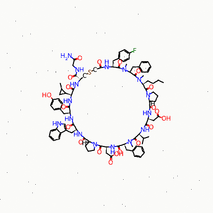 CCCC[C@H]1C(=O)N2CCC[C@@H]2C(=O)N[C@@H](CC(=O)O)C(=O)N[C@@H](C(C)C)C(=O)N(C)[C@@H](Cc2ccccc2)C(=O)N[C@@H](CC(=O)O)C(=O)N2CCC[C@@H]2C(=O)N[C@@H](Cc2c[nH]c3ccccc23)C(=O)N[C@@H](Cc2ccc(O)cc2)C(=O)N[C@@H](C2CC2C)C(=O)N[C@H](C(=O)NCC(N)=O)CSCC(=O)N[C@@H](Cc2ccc(F)cc2)C(=O)N(C)C(Cc2ccccc2)C(=O)N1C